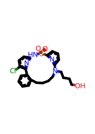 O=S1(=O)Nc2ccc(Cl)c(n2)-c2ccccc2CCCCN(CCCCO)c2cccc1n2